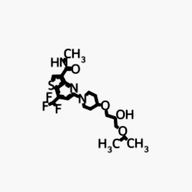 CNC(=O)c1csc2c(C(F)(F)F)cc(N3CCC(OCC(O)COC(C)C)CC3)nc12